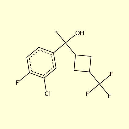 CC(O)(c1ccc(F)c(Cl)c1)C1CC(C(F)(F)F)C1